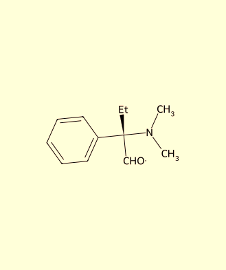 CC[C@@]([C]=O)(c1ccccc1)N(C)C